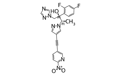 C[C@@H](n1cc(C#Cc2ccc([N+](=O)[O-])nc2)cn1)[C@](O)(Cn1cncn1)c1ccc(F)cc1F